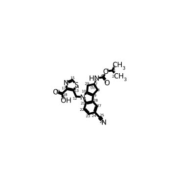 CC(C)OC(=O)N[C@H]1Cc2c(n(Cc3scnc3C(=O)O)c3ccc(C#N)cc23)C1